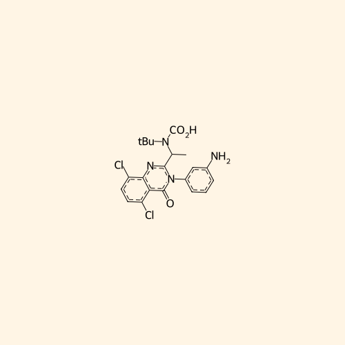 CC(c1nc2c(Cl)ccc(Cl)c2c(=O)n1-c1cccc(N)c1)N(C(=O)O)C(C)(C)C